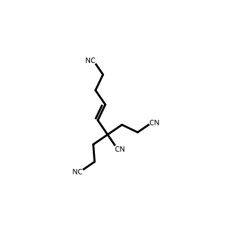 N#CCC/C=C/C(C#N)(CCC#N)CCC#N